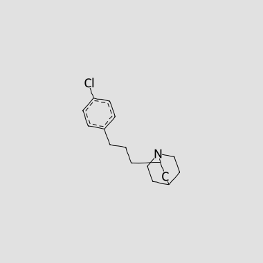 Clc1ccc(CCCC2CC3CCN2CC3)cc1